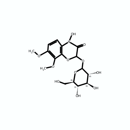 COc1ccc2c(c1OC)OC(OC1O[C@H](CO)[C@@H](O)[C@H](O)[C@H]1O)C(=O)N2O